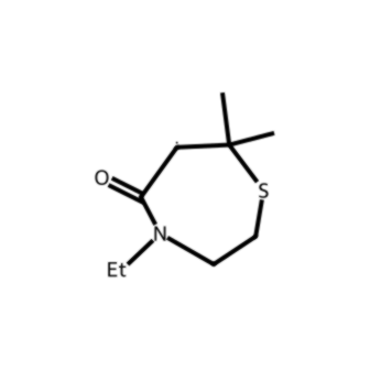 CCN1CCSC(C)(C)[CH]C1=O